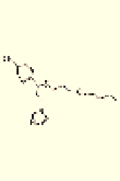 CCCCCCCCCSC(CCn1ccnc1)c1ccc(Cl)cc1